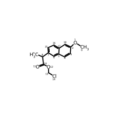 COc1ccc2cc(C(C)C(=O)OCCl)ccc2c1